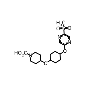 CS(=O)(=O)c1cnc(OC2CCC(OC3CCN(C(=O)O)CC3)CC2)cn1